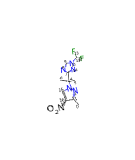 Cc1nn(C(C)(C)c2ncn(C(F)F)n2)cc1[N+](=O)[O-]